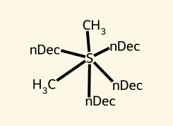 CCCCCCCCCCS(C)(C)(CCCCCCCCCC)(CCCCCCCCCC)CCCCCCCCCC